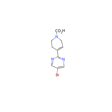 O=C(O)N1CC=C(c2ncc(Br)cn2)CC1